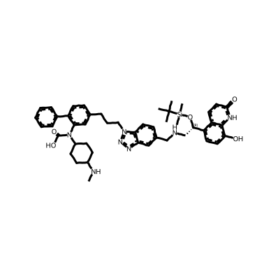 CNC1CCC(N(C(=O)O)c2cc(CCCn3nnc4cc(CNC[C@H](O[Si](C)(C)C(C)(C)C)c5ccc(O)c6[nH]c(=O)ccc56)ccc43)ccc2-c2ccccc2)CC1